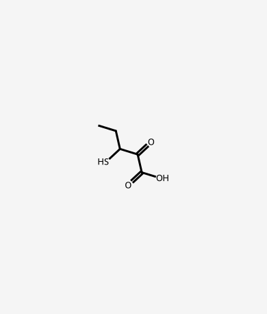 CCC(S)C(=O)C(=O)O